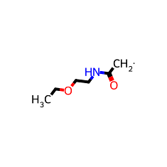 [CH2]C(=O)NCCOCC